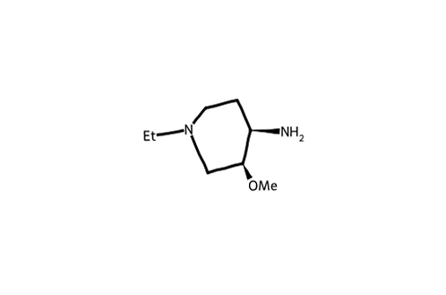 CCN1CC[C@@H](N)[C@@H](OC)C1